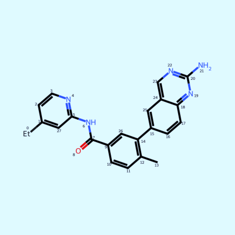 CCc1ccnc(NC(=O)c2ccc(C)c(-c3ccc4nc(N)ncc4c3)c2)c1